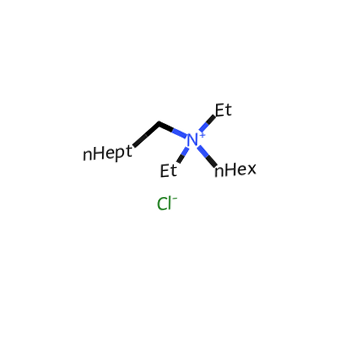 CCCCCCCC[N+](CC)(CC)CCCCCC.[Cl-]